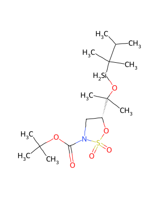 CC(C)C(C)(C)[SiH2]OC(C)(C)[C@H]1CN(C(=O)OC(C)(C)C)S(=O)(=O)O1